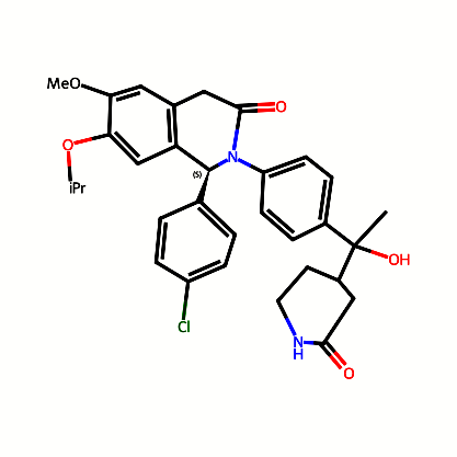 COc1cc2c(cc1OC(C)C)[C@H](c1ccc(Cl)cc1)N(c1ccc(C(C)(O)C3CCNC(=O)C3)cc1)C(=O)C2